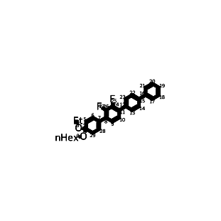 CCCCCCOC1(OCC)C=CC(c2ccc(-c3ccc(-c4ccccc4)cc3)c(F)c2F)=CC1